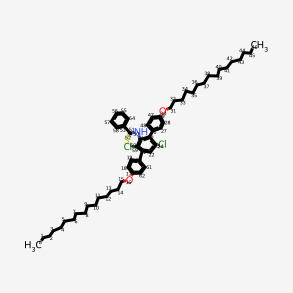 CCCCCCCCCCCCCCCCOc1ccc(-c2cc(Cl)c(-c3ccc(OCCCCCCCCCCCCCCCC)cc3)c(NC(=S)c3ccccc3)c2Cl)cc1